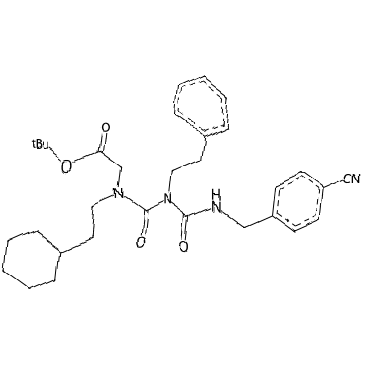 CC(C)(C)OC(=O)CN(CCC1CCCCC1)C(=O)N(CCc1ccccc1)C(=O)NCc1ccc(C#N)cc1